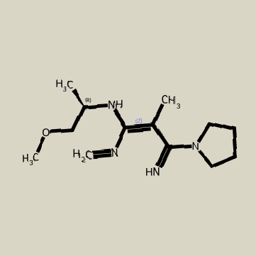 C=N/C(N[C@H](C)COC)=C(/C)C(=N)N1CCCC1